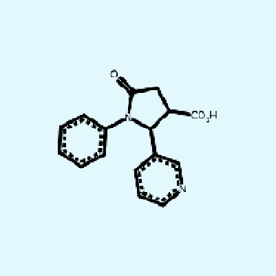 O=C(O)C1CC(=O)N(c2ccccc2)C1c1cccnc1